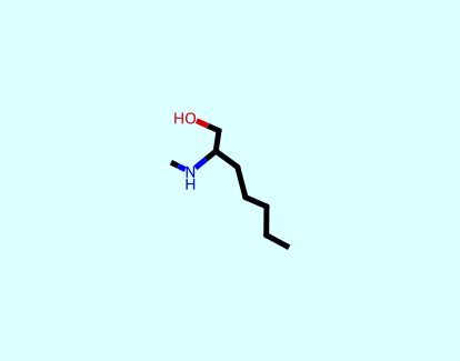 CCCCCC(CO)NC